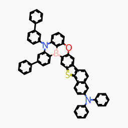 c1ccc(-c2cccc(N3c4cc(-c5ccccc5)ccc4B4c5cc6sc7c8ccc(N(c9ccccc9)c9ccccc9)cc8ccc7c6cc5Oc5cccc3c54)c2)cc1